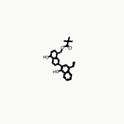 C=Cc1cc(-c2ccc3c(O)ccc(COC(=O)C(C)(C)C)c3c2)c(O)c2ccccc12